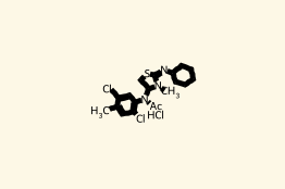 CC(=O)N(c1cc(Cl)c(C)cc1Cl)C1CSC(=NC2CCCCC2)N1C.Cl